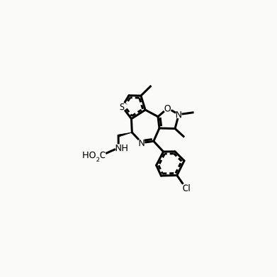 Cc1csc2c1C1=C(C(c3ccc(Cl)cc3)=N[C@H]2CNC(=O)O)C(C)N(C)O1